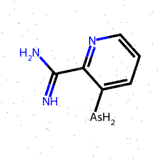 N=C(N)c1ncccc1[AsH2]